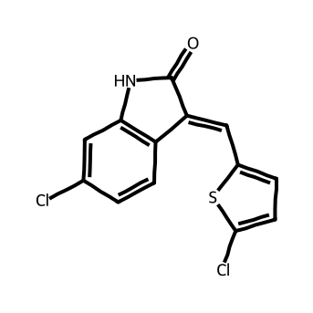 O=C1Nc2cc(Cl)ccc2/C1=C\c1ccc(Cl)s1